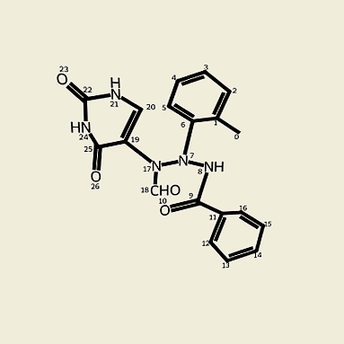 Cc1ccccc1N(NC(=O)c1ccccc1)N(C=O)c1c[nH]c(=O)[nH]c1=O